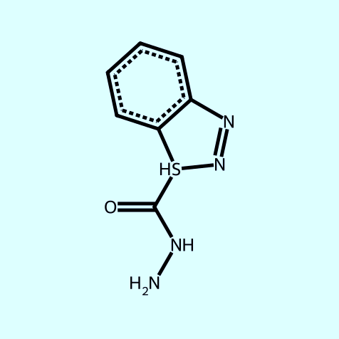 NNC(=O)[SH]1N=Nc2ccccc21